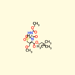 CCOC(=O)N[C@@H]1C(=O)N2C(C(=O)OCC[Si](C)(C)C)=C(COC)CS(=O)(=O)[C@@H]12